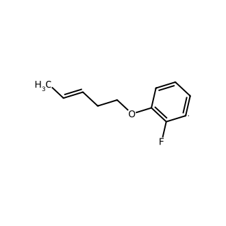 CC=CCCOc1ccc[c]c1F